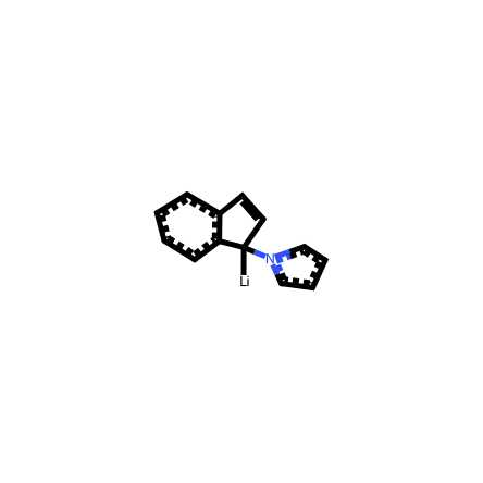 [Li][C]1(n2cccc2)C=Cc2ccccc21